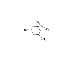 C=CC1(C)CC(C)CC(O)C1